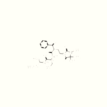 CC(C)C[C@H](NC(=O)[C@H](CCN1C(=O)N(C)C(C)(C)C1=O)C(=S)c1ccccc1)C(=O)N[C@H](C(=O)O)C(C)(C)C